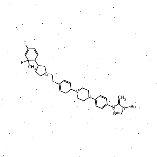 C=C1N(c2ccc(N3CCN(C4C=CC(CC[C@@H]5CCC(C6C=CC(F)=CC6(C)F)C5)=CC4)CC3)cc2)N=CN1C(C)CC